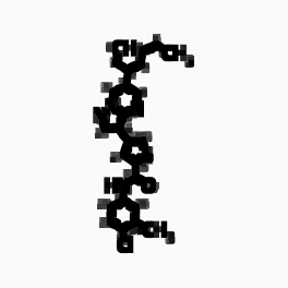 C=C/C(=C\C=C/C)c1cnc2c(-c3csc(C(=O)Nc4ccc(Cl)c(C)c4)c3)cnn2c1